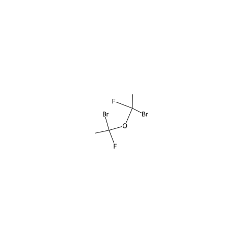 CC(F)(Br)OC(C)(F)Br